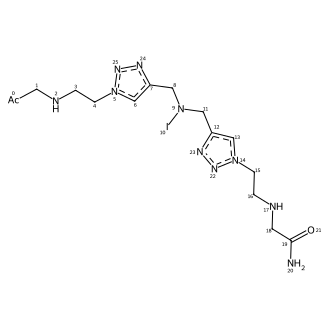 CC(=O)CNCCn1cc(CN(I)Cc2cn(CCNCC(N)=O)nn2)nn1